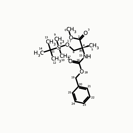 COC(=O)[C@@](C)(CO[Si](C)(C)C(C)(C)C)NC(=O)OCc1ccccc1